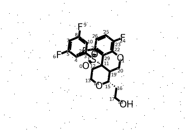 O=S(=O)(c1cc(F)cc(F)c1)[C@@]12CCO[C@@H](CCO)C1COc1c(F)ccc(F)c12